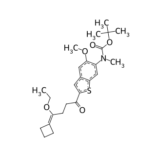 CCOC(CCC(=O)c1cc2cc(OC)c(N(C)C(=O)OC(C)(C)C)cc2s1)=C1CCC1